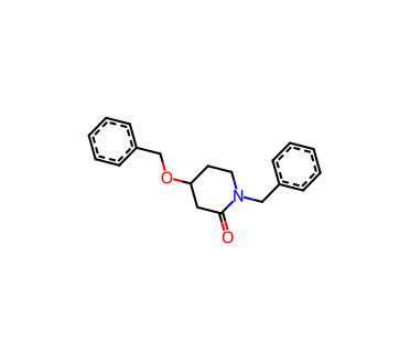 O=C1CC(OCc2ccccc2)CCN1Cc1ccccc1